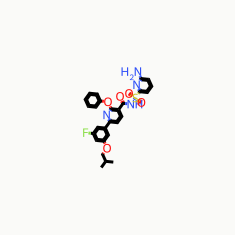 CC(C)COc1cc(F)cc(-c2ccc(C(=O)NS(=O)(=O)c3cccc(N)n3)c(Oc3ccccc3)n2)c1